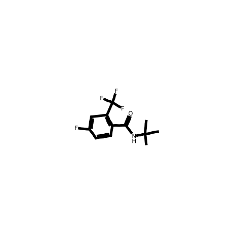 CC(C)(C)NC(=O)c1ccc(F)cc1C(F)(F)F